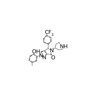 Cc1ccc(O)c(-n2cc3c(n2)C(=O)N(C2CCNCC2)C3c2ccc(C(F)(F)F)cc2)c1